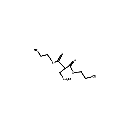 CCOC(=O)CC(C(=O)OCCC#N)C(=O)OCCC#N